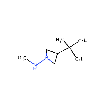 CNN1CC(C(C)(C)C)C1